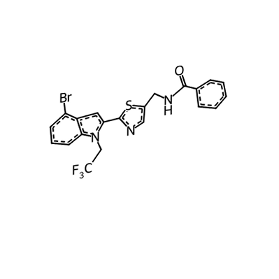 O=C(NCc1cnc(-c2cc3c(Br)cccc3n2CC(F)(F)F)s1)c1ccccc1